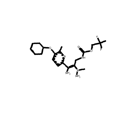 Cc1nc(/C(N)=C(\CNC(=O)OCC(C)(F)F)N(C)N)ccc1OC1CCCCC1